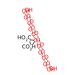 O=C(O)c1ccc(C(=O)O)cc1.OCCOCCOCCOCCOCCOCCOCCOCCOCCOCCO.OCCOCCOCCOCCOCCOCCOCCOCCOCCOCCO